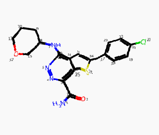 NC(=O)c1nnc(NC2CCCOC2)c2cc(-c3ccc(Cl)cc3)sc12